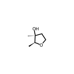 C[C@@H]1OCC[C@]1(C)O